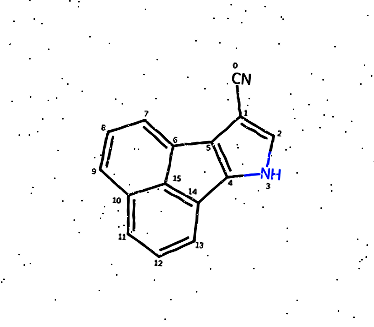 N#Cc1c[nH]c2c1-c1cccc3cccc-2c13